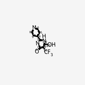 O=c1nc(-c2ccncc2)[nH]c(O)c1C(F)(F)F